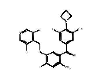 N#Cc1cc(C(=N)c2cc(OCc3c(Cl)cncc3Cl)c(F)cc2N)cc(F)c1N1CCC1